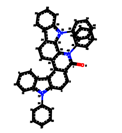 O=c1c2ccc3c(c4ccccc4n3-c3ccccc3)c2c2ccc3c4ccccc4n(-c4ccccc4)c3c2n1-c1ccccc1